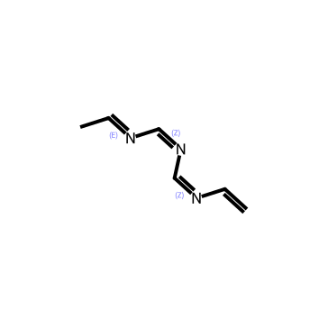 C=C\N=C/N=C\N=C\C